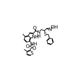 Cc1ccsc1S(=O)(=O)Nc1ccc(C)c2cc(C(=O)NCC(C=NO)SCc3ccccc3)[nH]c12